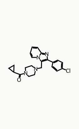 O=C(C1CC1)N1CCN(Cc2c(-c3ccc(Cl)cc3)nc3ccccn23)CC1